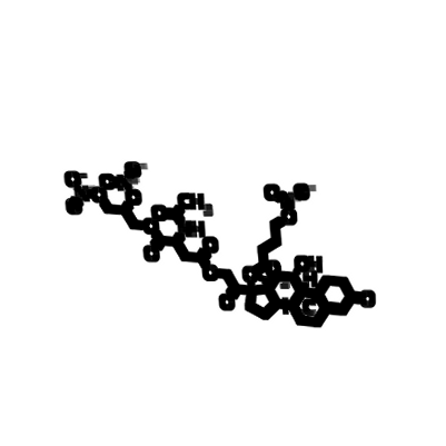 CC(=O)NC(CC(=O)OCC(=O)[C@@]1(OC(=O)CCCO[N+](=O)[O-])CCC2C3CCC4=CC(=O)CC[C@]4(C)[C@H]3[C@@H](O)C[C@@]21C)C(=O)OCC(CO[N+](=O)[O-])O[N+](=O)[O-]